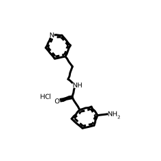 Cl.Nc1cccc(C(=O)NCCc2ccncc2)c1